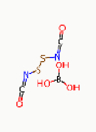 O=C=NSSN=C=O.OB(O)O